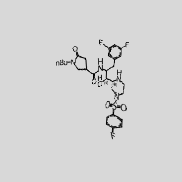 CCCCN1CC(C(=O)NC(Cc2cc(F)cc(F)c2)[C@H](O)[C@H]2CN(S(=O)(=O)c3ccc(F)cc3)CCN2)CC1=O